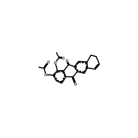 CC(=O)Oc1ccc2c(c1OC(C)=O)C(=O)c1cc3c(cc1C2=O)C=CCC3